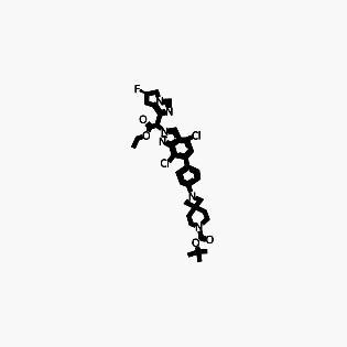 CCOC(=O)C(c1ncn2c1C[C@@H](F)C2)n1cc2c(Cl)cc(-c3ccc(N4CC5(CCN(C(=O)OC(C)(C)C)CC5)C4)cc3)c(Cl)c2n1